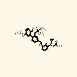 COc1ccc(F)c(-c2ccc(COc3cccc([C@@H](CC(=O)O)C4CC4)c3F)cc2CC(C)(C)C)c1